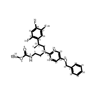 C[C@H](CN(CCNC(=O)OC(C)(C)C)c1ncc(OCc2ccccc2)cn1)c1cc(F)c(F)cc1F